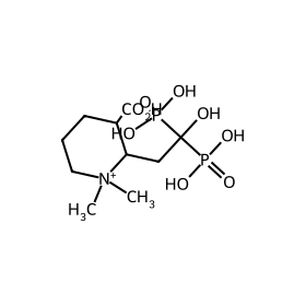 C[N+]1(C)CCCC(C(=O)O)C1CC(O)(P(=O)(O)O)P(=O)(O)O